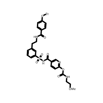 CCOc1ccc(C(=O)NCCc2cccc(S(=O)(=O)NC(=O)c3ccc(OC(=O)NCCOC)nc3)c2)cc1